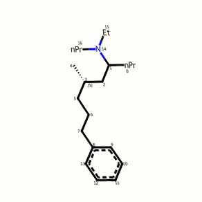 CCCC(C[C@@H](C)CCCc1ccccc1)N(CC)CCC